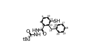 CC(C)(C)C(=O)NNC(=O)c1cccc(S)c1Cc1ccccc1